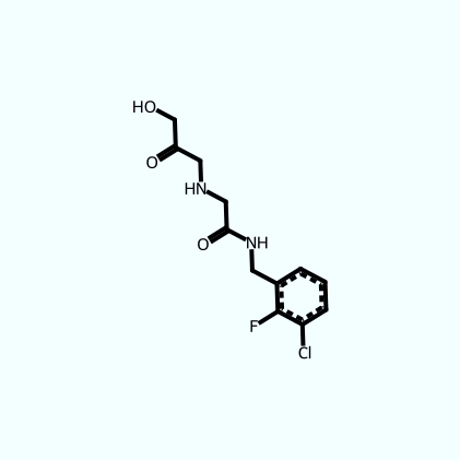 O=C(CO)CNCC(=O)NCc1cccc(Cl)c1F